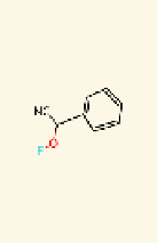 N#CC(OF)c1ccccc1